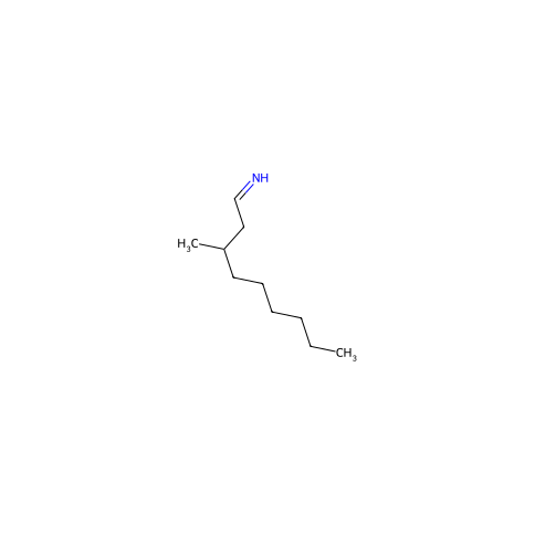 CCCCCCC(C)CC=N